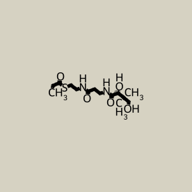 CCC(=O)SCCNC(=O)CCNC(=O)[C@H](O)C(C)(C)CO